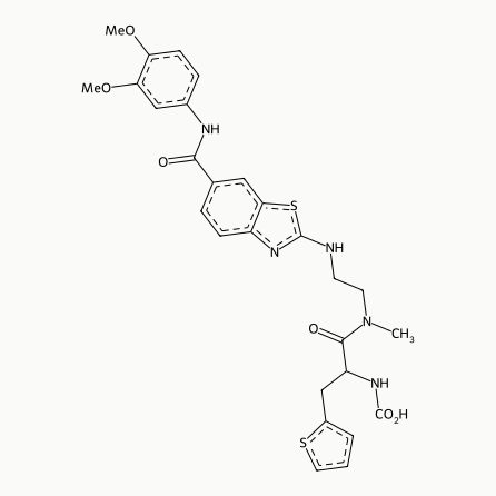 COc1ccc(NC(=O)c2ccc3nc(NCCN(C)C(=O)C(Cc4cccs4)NC(=O)O)sc3c2)cc1OC